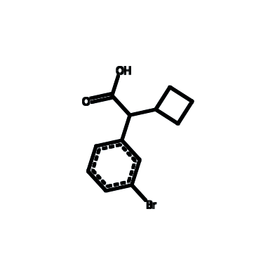 O=C(O)C(c1cccc(Br)c1)C1CCC1